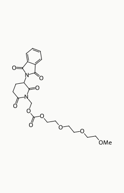 COCCOCCOCCOC(=O)OCN1C(=O)CCC(N2C(=O)c3ccccc3C2=O)C1=O